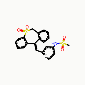 CS(=O)(=O)Nc1cccc(/C=C2\c3ccccc3CS(=O)(=O)c3ccccc32)c1